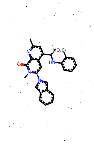 Cc1cc(C(C)Nc2ccccc2C(=O)O)c2cc(-n3cc4ccccc4c3)n(C)c(=O)c2n1